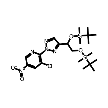 CC(C)(C)[Si](C)(C)OCC(O[Si](C)(C)C(C)(C)C)c1cnn(-c2ncc([N+](=O)[O-])cc2Cl)n1